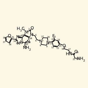 Cn1c(=O)n(CCN2CCN(c3ccc(OCCNC(=O)CN)cc3F)CC2)c2nc(N)n3nc(-c4ccco4)nc3c21